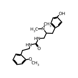 COc1ccccc1CCNC(=O)NCC(Cc1ccc(O)cc1)N(C)C